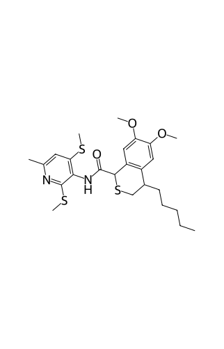 CCCCCC1CSC(C(=O)Nc2c(SC)cc(C)nc2SC)c2cc(OC)c(OC)cc21